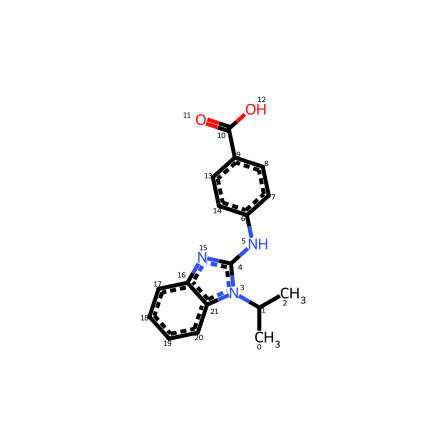 CC(C)n1c(Nc2ccc(C(=O)O)cc2)nc2ccccc21